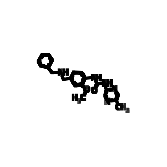 COc1cc(CNCc2ccccc2)ccc1NC(=O)Nc1cnc(C)cn1